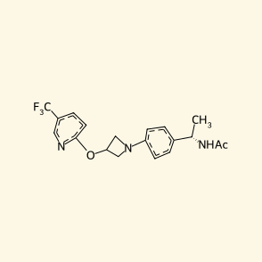 CC(=O)N[C@@H](C)c1ccc(N2CC(Oc3ccc(C(F)(F)F)cn3)C2)cc1